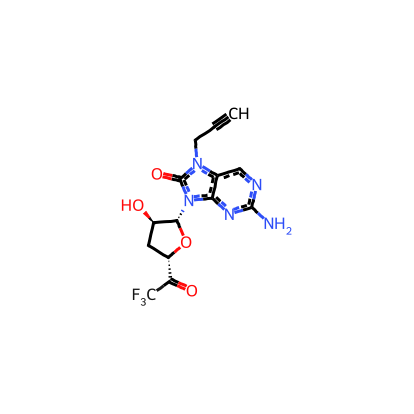 C#CCn1c(=O)n([C@@H]2O[C@H](C(=O)C(F)(F)F)C[C@H]2O)c2nc(N)ncc21